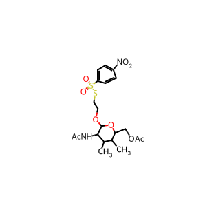 CC(=O)NC1C(OCCSS(=O)(=O)c2ccc([N+](=O)[O-])cc2)OC(COC(C)=O)C(C)C1C